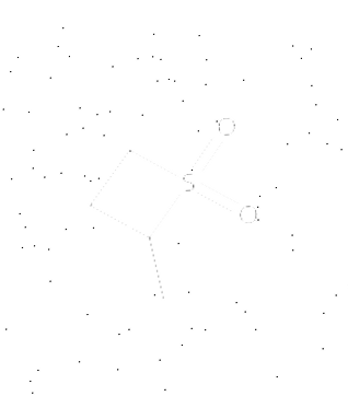 CC1CCS1(=O)=O